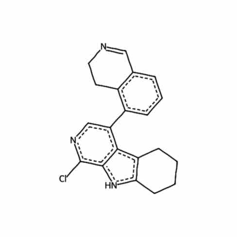 Clc1ncc(-c2cccc3c2CCN=C3)c2c3c([nH]c12)CCCC3